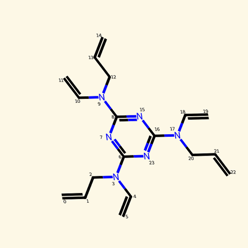 C=CCN(C=C)c1nc(N(C=C)CC=C)nc(N(C=C)CC=C)n1